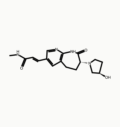 CNC(=O)/C=C/c1cnc2c(c1)CC[C@@H](N1CC[C@@H](O)C1)C(=O)N2